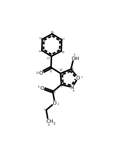 CCOC(=O)c1noc(O)c1C(=O)c1ccccc1